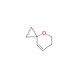 C1=CC2(CC2)OCC1